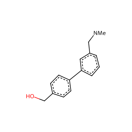 CNCc1cccc(-c2ccc(CO)cc2)c1